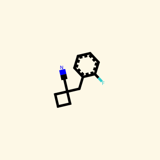 N#CC1(Cc2ccccc2F)CCC1